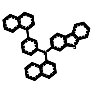 c1cc(-c2cccc3ccccc23)cc(N(c2ccc3c(c2)sc2ccccc23)c2cccc3ccccc23)c1